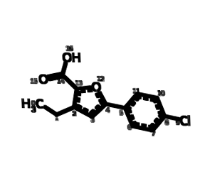 CCc1cc(-c2ccc(Cl)cc2)oc1C(=O)O